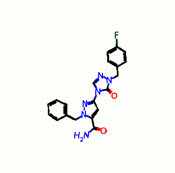 NC(=O)c1cc(-n2cnn(Cc3ccc(F)cc3)c2=O)nn1Cc1ccccc1